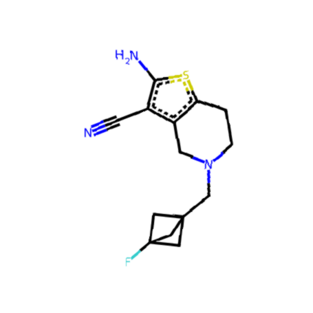 N#Cc1c(N)sc2c1CN(CC13CC(F)(C1)C3)CC2